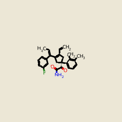 C=CC1=C(/C(=C/C)c2cccc(F)c2)C[C@](C(=O)C(N)=O)(c2cccc(C)c2C)C1